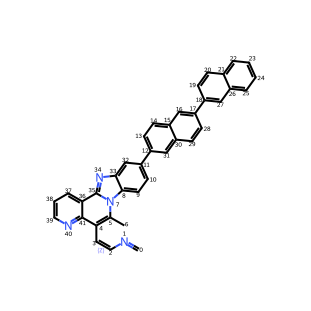 C=N/C=C\c1c(C)n2c3ccc(-c4ccc5cc(-c6ccc7ccccc7c6)ccc5c4)cc3nc2c2cccnc12